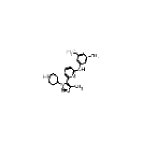 Cc1cc(C)cc(Nc2cccc(-c3c(C)nnn3C3CCNCC3)n2)c1